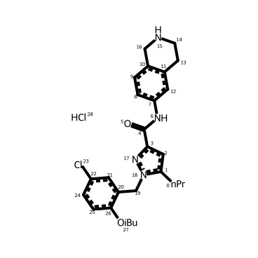 CCCc1cc(C(=O)Nc2ccc3c(c2)CCNC3)nn1Cc1cc(Cl)ccc1OCC(C)C.Cl